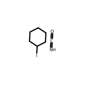 IC1CCCCC1.N=C=O